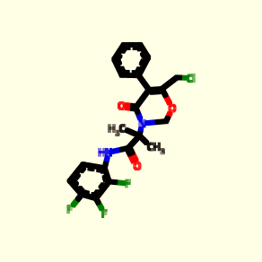 CC(C)(C(=O)Nc1ccc(F)c(F)c1F)N1COC(CCl)=C(c2ccccc2)C1=O